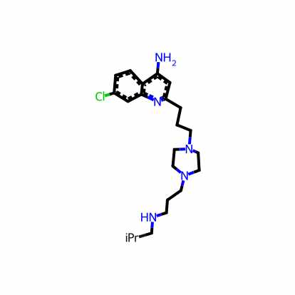 CC(C)CNCCCN1CCN(CCCc2cc(N)c3ccc(Cl)cc3n2)CC1